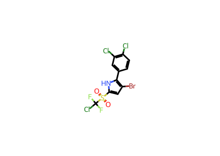 O=S(=O)(c1cc(Br)c(-c2ccc(Cl)c(Cl)c2)[nH]1)C(F)(F)Cl